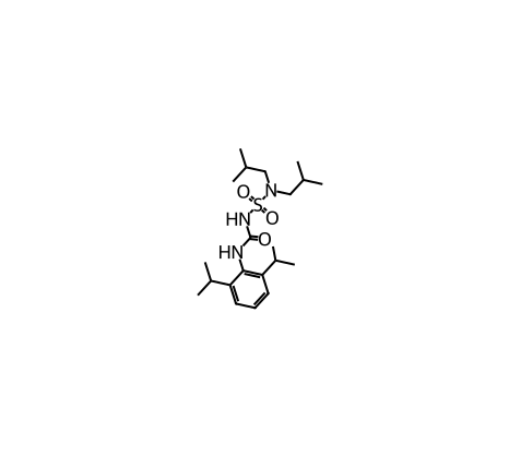 CC(C)CN(CC(C)C)S(=O)(=O)NC(=O)Nc1c(C(C)C)cccc1C(C)C